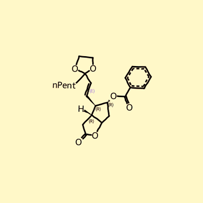 CCCCCC1(/C=C/[C@H]2[C@H](OC(=O)c3ccccc3)CC3OC(=O)C[C@@H]32)OCCO1